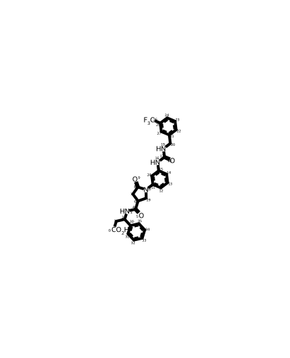 O=C(O)CC(NC(=O)C1CC(=O)N(c2cccc(NC(=O)NCc3cccc(C(F)(F)F)c3)c2)C1)c1ccccc1